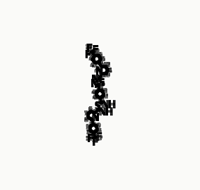 N=C(SC(=N)c1cccc(-c2ccc(C(F)(F)F)cc2)n1)c1ccc(-c2nnc(-c3cccc(-c4ccc(C(F)(F)F)cc4)n3)s2)cc1